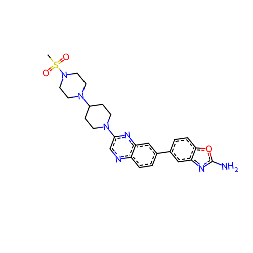 CS(=O)(=O)N1CCN(C2CCN(c3cnc4ccc(-c5ccc6oc(N)nc6c5)cc4n3)CC2)CC1